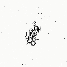 COc1cnnc(S(=O)(=O)NC(=O)Nc2c(C(C)C)cccc2C(C)C)c1